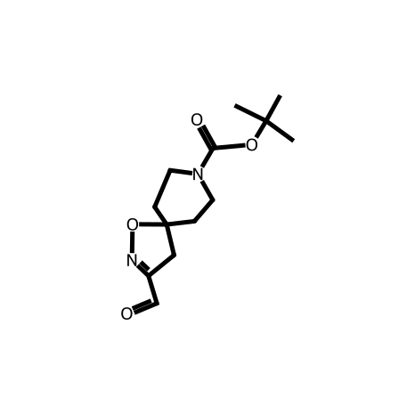 CC(C)(C)OC(=O)N1CCC2(CC1)CC(C=O)=NO2